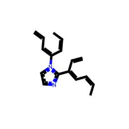 C=C/C=C(\C=C/C)n1ccnc1/C(C=C)=C/C=C\C